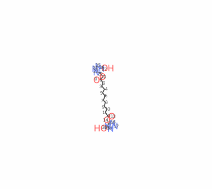 O=C(CCCCCCCCCCC(=O)Oc1nnnn1O)Oc1nnnn1O